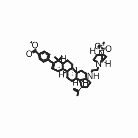 C=C(C)[C@@H]1CC[C@]2(NCCN3C[C@@H]4C[C@H]3CN4S(C)(=O)=O)CC[C@]3(C)[C@H](CC[C@@H]4[C@@]5(C)CC=C(c6ccc(C(=O)OC)cc6)C(C)(C)[C@@H]5CC[C@]43C)[C@@H]12